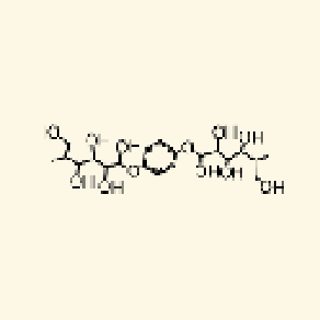 CC(CO)C(O)C(O)C(O)C(O)Oc1ccc(OC(O)C(O)C(O)C(O)C(C)CO)cc1